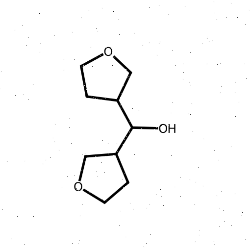 OC(C1CCOC1)C1CCOC1